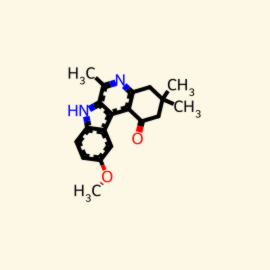 COc1ccc2[nH]c3c(C)nc4c(c3c2c1)C(=O)CC(C)(C)C4